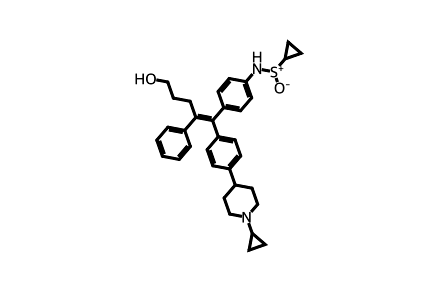 [O-][S+](Nc1ccc(/C(=C(\CCCO)c2ccccc2)c2ccc(C3CCN(C4CC4)CC3)cc2)cc1)C1CC1